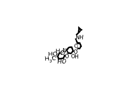 C[C@]1(O)CO[C@H](O[C@@H]2C(O)[C@H](O[C@@H]3CCC=C(CNCC4CC4)O3)CC[C@H]2N)[C@H](O)C1